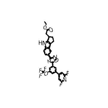 CCOC(=O)CC1CCc2c1[nH]c1ccc(-c3noc(-c4cc(OC(F)(F)F)cc(-c5cc(F)nc(F)c5)c4)n3)cc21